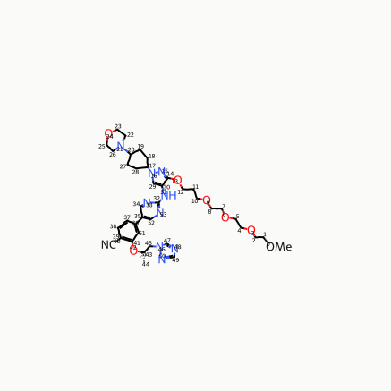 COCCOCCOCCOCCCOc1nn(C2CCC(N3CCOCC3)CC2)cc1Nc1ncc(-c2ccc(C#N)c(O[C@@H](C)Cn3cncn3)c2)cn1